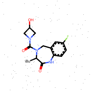 CCC(C)C1C(=O)Nc2ccc(F)cc2CN1C(=O)N1CC(O)C1